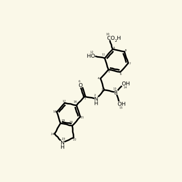 O=C(NC(Cc1cccc(C(=O)O)c1O)B(O)O)c1ccc2c(c1)CNC2